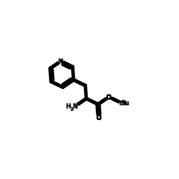 CC(C)(C)OC(=O)C(N)Cc1cccnc1